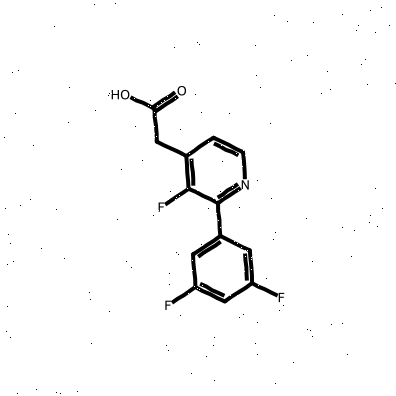 O=C(O)Cc1ccnc(-c2cc(F)cc(F)c2)c1F